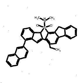 CCCC1=Cc2c(-c3ccc4ccccc4c3)cccc2[CH]1[Zr]([Cl])([Cl])([c]1cccc2c1Cc1ccccc1-2)[SiH](C)C